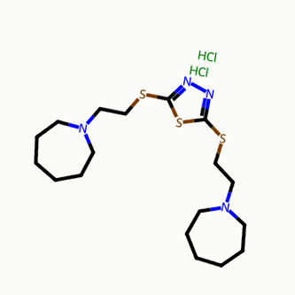 C1CCCN(CCSc2nnc(SCCN3CCCCCC3)s2)CC1.Cl.Cl